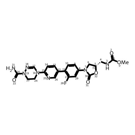 COC(=O)NC[C@H]1CN(c2ccc(-c3ccc(N4C=NN(C(N)=O)CC4)nc3)c(F)c2)C(=O)O1